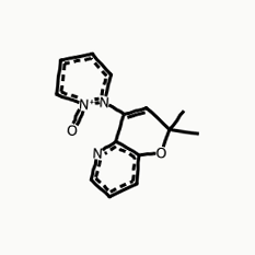 CC1(C)C=C(n2cccc[n+]2=O)c2ncccc2O1